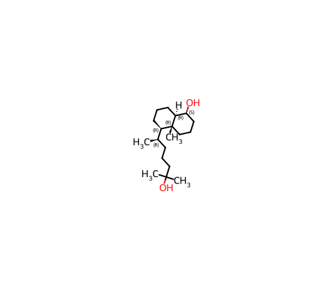 C[C@H](CCCC(C)(C)O)[C@H]1CCC[C@H]2[C@@H](O)CCC[C@]12C